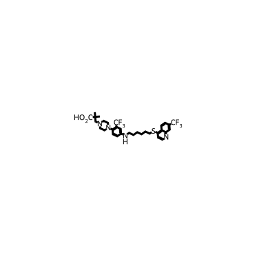 CC(C)(CN1CCN(c2ccc(NCCCCCCSc3ccnc4cc(C(F)(F)F)ccc34)cc2C(F)(F)F)CC1)C(=O)O